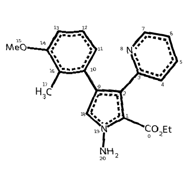 CCOC(=O)c1c(-c2ccccn2)c(-c2cccc(OC)c2C)cn1N